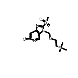 C[Si](C)(C)CCOCn1c(S(C)(=O)=O)nc2cc(Cl)ncc21